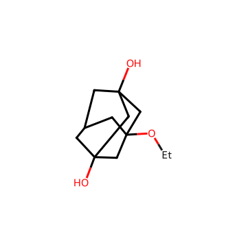 CCOC12CC3CC(O)(CC(O)(C3)C1)C2